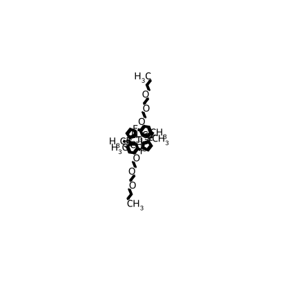 CCCCOCCOCCOc1ccc(F)[c]([Ti]([C]2=C([Si](C)(C)C)C=CC2)([C]2=C([Si](C)(C)C)C=CC2)[c]2c(F)ccc(OCCOCCOCCCC)c2F)c1F